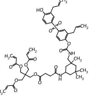 C=CCc1cc(S(=O)(=O)c2ccc(OC(=O)NCC3(C)CC(NC(=O)CCC(=O)OCC(COC(=O)C=C)(COC(=O)C=C)COC(=O)C=C)CC(C)(C)C3)c(CC=C)c2)ccc1O